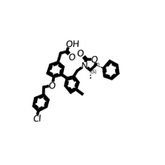 Cc1ccc(-c2cc(CC(=O)O)ccc2OCc2ccc(Cl)cc2)c(CN2C(=O)O[C@H](c3ccccc3)[C@@H]2C)c1